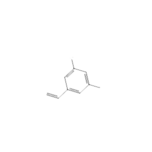 C=Cc1cc(Br)cc(CC)c1